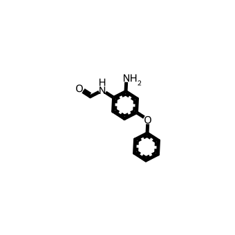 Nc1cc(Oc2ccccc2)ccc1NC=O